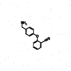 N#Cc1ccccc1Oc1ccc(CN)cc1